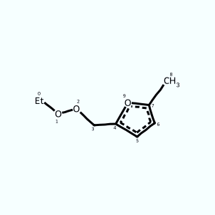 CCOOCc1ccc(C)o1